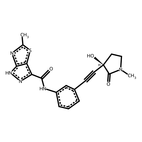 Cc1nc2[nH]nc(C(=O)Nc3cccc(C#C[C@]4(O)CCN(C)C4=O)c3)c2s1